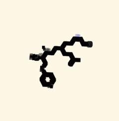 C=C(C)CCC(CC/C=C\C=O)CC[C@@H](C)[C@H](O)CSc1ccncc1